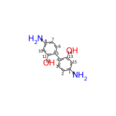 Nc1ccc(-c2ccc(N)cc2O)c(O)c1